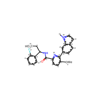 COc1ccc(C(=O)NC(CC(=O)O)c2ccccc2F)nc1-c1ccc2ccn(C)c2c1